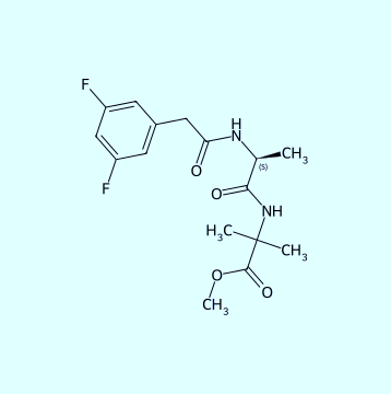 COC(=O)C(C)(C)NC(=O)[C@H](C)NC(=O)Cc1cc(F)cc(F)c1